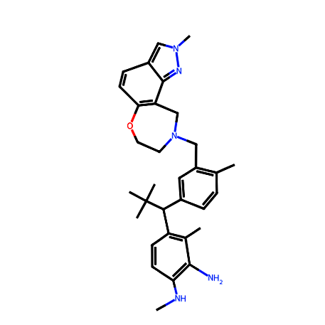 CNc1ccc(C(c2ccc(C)c(CN3CCOc4ccc5cn(C)nc5c4C3)c2)C(C)(C)C)c(C)c1N